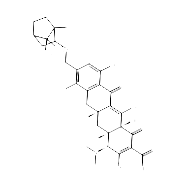 CN(C)[C@@H]1C(O)=C(C(N)=O)C(=O)[C@@]2(O)C(O)=C3C(=O)c4c(O)cc(CNC5CC6CCC5(C)C6(C)C)c(F)c4C[C@H]3C[C@@H]12